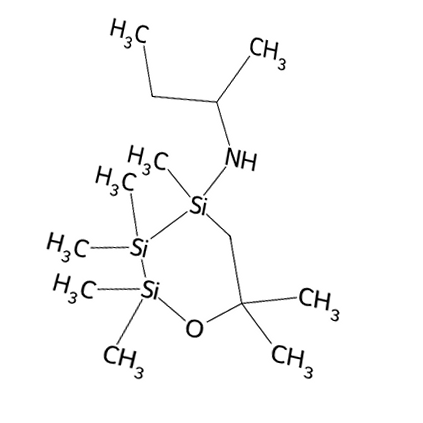 CCC(C)N[Si]1(C)CC(C)(C)O[Si](C)(C)[Si]1(C)C